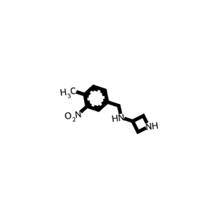 Cc1ccc(CNC2CNC2)cc1[N+](=O)[O-]